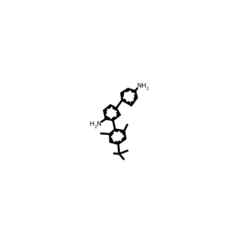 Cc1cc(C(C)(C)C)cc(C)c1-c1cc(-c2ccc(N)cc2)ccc1N